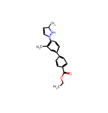 CCOC(=O)c1ccc(-c2ccc(N3C=CC(C)N3)c(C)c2)cc1